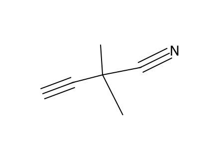 C#CC(C)(C)C#N